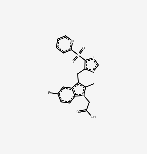 Cc1c(Cc2ncsc2S(=O)(=O)c2ccccn2)c2cc(F)ccc2n1CC(=O)O